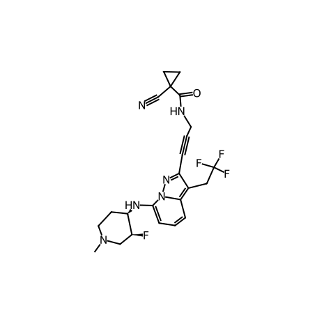 CN1CC[C@@H](Nc2cccc3c(CC(F)(F)F)c(C#CCNC(=O)C4(C#N)CC4)nn23)[C@@H](F)C1